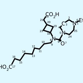 CCN1CCCN(C(=O)N(CCCCCCCCC(=O)O)C2CC(CC(=O)O)C2)CC1